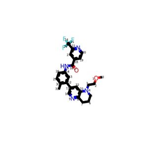 COCCN1CCCc2ncc(-c3cc(NC(=O)c4ccnc(C(F)(F)F)c4)ccc3C)cc21